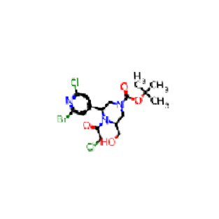 CC(C)(C)OC(=O)N1CC(CO)N(C(=O)CCl)C(c2cc(Cl)nc(Br)c2)C1